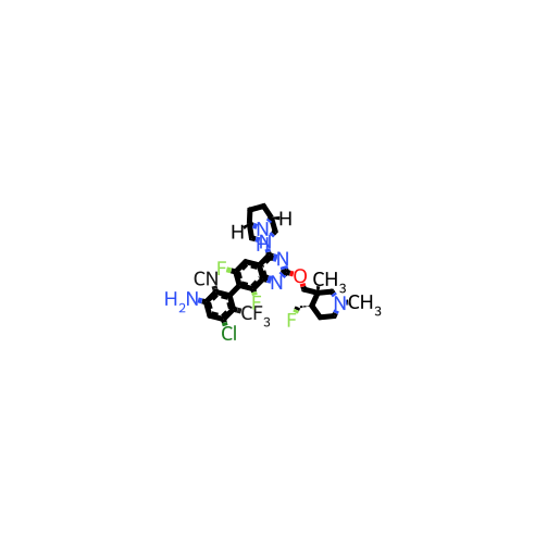 CN1CC[C@H](CF)[C@](C)(COc2nc(N3C[C@H]4CC[C@@H](C3)N4)c3cc(F)c(-c4c(C#N)c(N)cc(Cl)c4C(F)(F)F)c(F)c3n2)C1